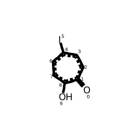 O=c1ccc(I)ccc1O